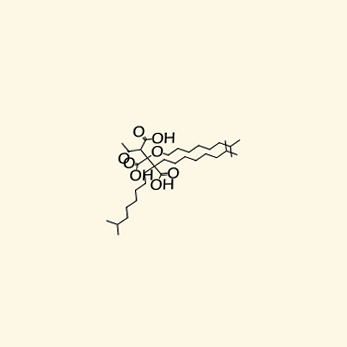 CC(=O)C(C(=O)O)C(OCCCCCCC(C)C)(C(=O)O)C(CCCCCCC(C)C)(CCCCCCC(C)C)C(=O)O